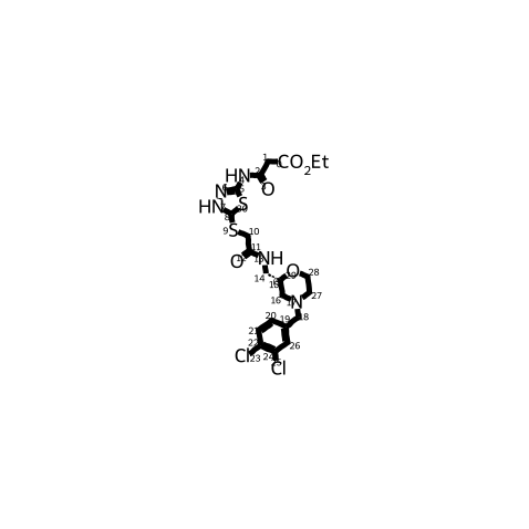 CCOC(=O)CC(=O)NC1=NNC(SCC(=O)NC[C@H]2CN(Cc3ccc(Cl)c(Cl)c3)CCO2)S1